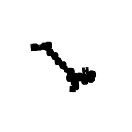 CC(C)COC(=O)CCOCCOCCOCCOCCCc1cccc(C(=O)Nc2ccc(OC3CCC3)cc2-c2cc(C(=O)NC3CCCc4ccccc43)ccn2)c1